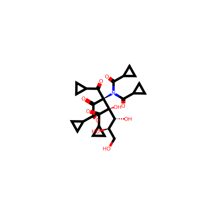 O=C(C(=O)[C@@](C(=O)C1CC1)(N(C(=O)C1CC1)C(=O)C1CC1)[C@](O)(C(=O)C1CC1)[C@H](O)[C@H](O)CO)C1CC1